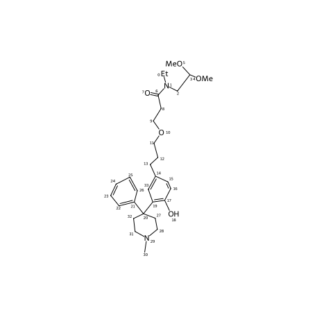 CCN(CC(OC)OC)C(=O)CCOCCCc1ccc(O)c(C2(c3ccccc3)CCN(C)CC2)c1